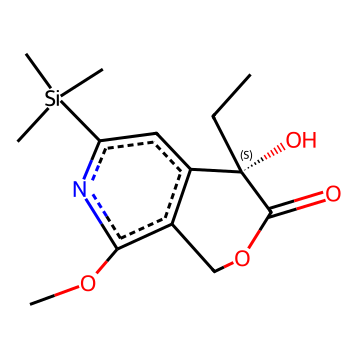 CC[C@@]1(O)C(=O)OCc2c1cc([Si](C)(C)C)nc2OC